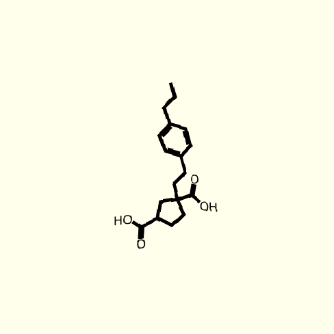 CCCc1ccc(CCC2(C(=O)O)CCC(C(=O)O)C2)cc1